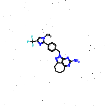 Cn1cc(C(F)(F)F)nc1-c1ccc(Cn2nc3c4c(nc(N)nc42)CCCC3)cc1